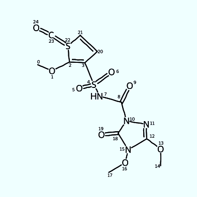 COC1=C(S(=O)(=O)NC(=O)n2nc(OC)n(OC)c2=O)C=CS1=C=O